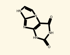 O=c1[nH]c(=O)c2c(nc3[nH]ccn32)[nH]1